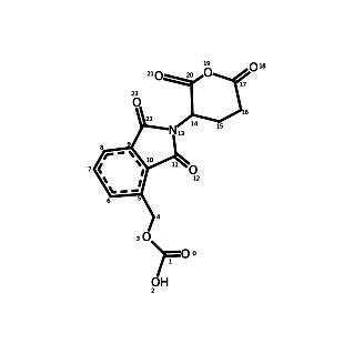 O=C(O)OCc1cccc2c1C(=O)N(C1CCC(=O)OC1=O)C2=O